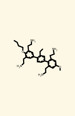 CCCCOc1c(CCN)cc(-c2ccc(-c3c(CCN)cc(OC)cc3CCN)cc2CC)cc1CCN